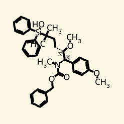 COc1ccc([C@H]([C@H](CCC(C)(C)[Si](O)(c2ccccc2)c2ccccc2)OC)N(C)C(=O)OCc2ccccc2)cc1